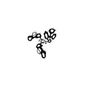 c1ccc(C2(c3ccccc3)c3ccccc3-c3c(-c4nc(-c5ccc6oc7ccccc7c6c5)nc(-c5ccc6oc7ccccc7c6c5)n4)cccc32)cc1